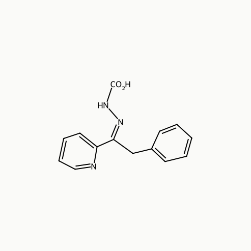 O=C(O)NN=C(Cc1ccccc1)c1ccccn1